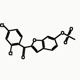 CS(=O)(=O)Oc1ccc2cc(C(=O)c3ccc(Cl)cc3Cl)oc2c1